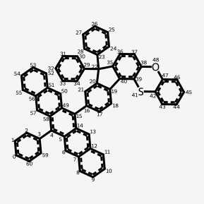 c1ccc(-c2c3cc4ccccc4cc3c(-c3ccc4c(c3)C(c3ccccc3)(c3ccccc3)c3ccc5c(c3-4)Sc3ccccc3O5)c3cc4ccccc4cc23)cc1